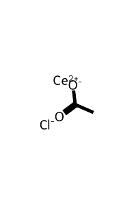 CC(=O)[O-].[Ce+2].[Cl-]